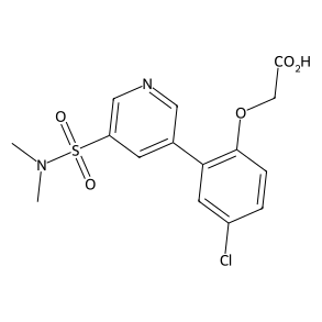 CN(C)S(=O)(=O)c1cncc(-c2cc(Cl)ccc2OCC(=O)O)c1